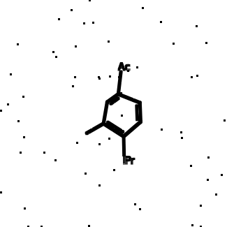 CC(=O)c1ccc(C(C)C)c(C)c1